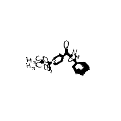 CC(C)(C)OC(=O)N1CCC(C(=O)c2nnc(-c3ccccc3)o2)CC1